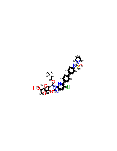 C[Si](C)(C)CCOCn1c(O[C@@H]2CO[C@H]3[C@@H]2OC[C@H]3O)nc2cc(Cl)c(-c3ccc(-c4ccc(N=S(C)(=O)N5CCCC5)cc4)cc3)nc21